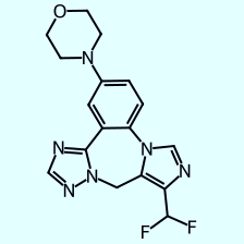 FC(F)c1ncn2c1Cn1ncnc1-c1cc(N3CCOCC3)ccc1-2